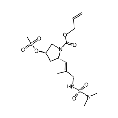 C=CCOC(=O)N1C[C@H](OS(C)(=O)=O)C[C@H]1/C=C(\C)CNS(=O)(=O)N(C)C